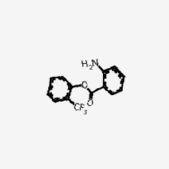 Nc1ccccc1C(=O)Oc1ccccc1C(F)(F)F